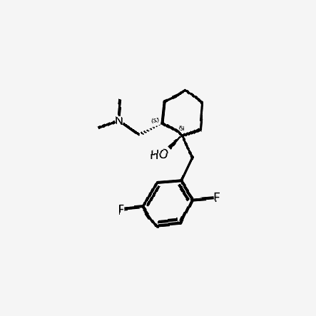 CN(C)C[C@@H]1CCCC[C@]1(O)Cc1cc(F)ccc1F